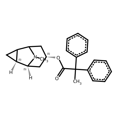 CN1C2C[C@H](OC(=O)C(C)(c3ccccc3)c3ccccc3)C[C@H]1[C@H]1CC21